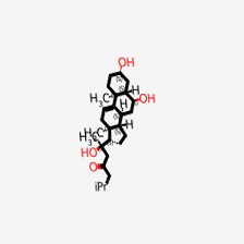 CC(C)CC(=O)C[C@](C)(O)[C@H]1CC[C@H]2[C@@H]3C[C@H](O)[C@H]4C[C@@H](O)CC[C@]4(C)C3=CC[C@@]21C